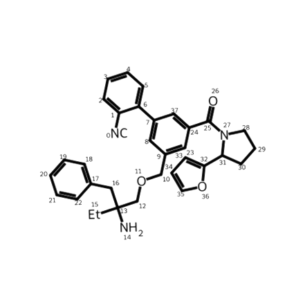 [C-]#[N+]c1ccccc1-c1cc(COCC(N)(CC)Cc2ccccc2)cc(C(=O)N2CCCC2c2ccco2)c1